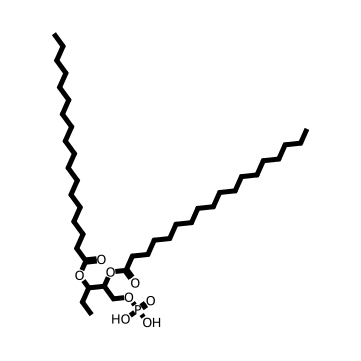 CCCCCCCCCCCCCCCCCC(=O)OC(CC)C(COP(=O)(O)O)OC(=O)CCCCCCCCCCCCCCCCC